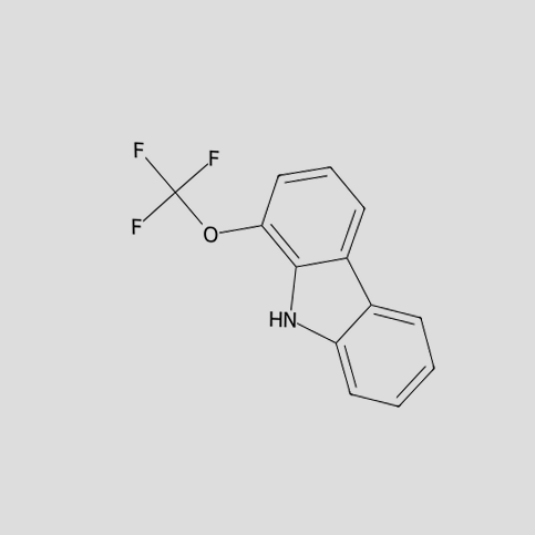 FC(F)(F)Oc1cccc2c1[nH]c1ccccc12